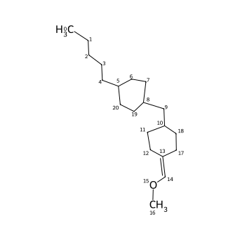 CCCCCC1CCC(CC2CCC(=COC)CC2)CC1